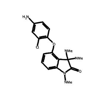 CNN1C(=O)C(NC)(NC)c2c(Oc3ccc(N)cc3Cl)cccc21